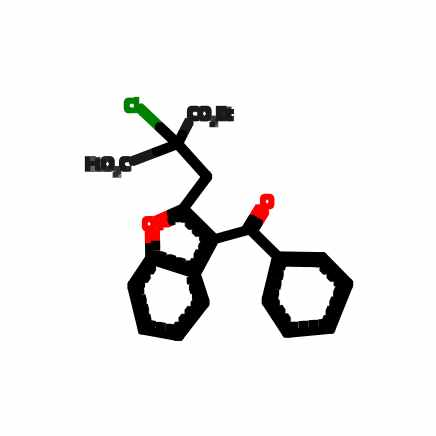 CCOC(=O)C(Cl)(Cc1oc2ccccc2c1C(=O)c1ccccc1)C(=O)OCC